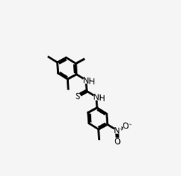 Cc1cc(C)c(NC(=S)Nc2ccc(C)c([N+](=O)[O-])c2)c(C)c1